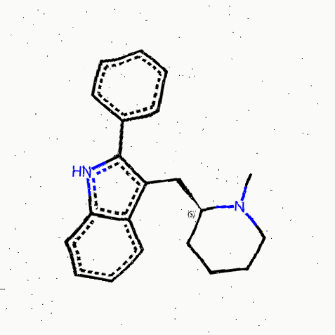 CN1CCCC[C@H]1Cc1c(-c2ccccc2)[nH]c2ccccc12